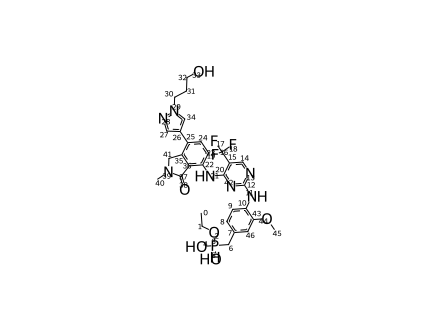 CCO[PH](O)(O)Cc1ccc(Nc2ncc(C(F)(F)F)c(Nc3ccc(-c4cnn(CCCO)c4)c4c3C(=O)N(C)C4)n2)c(OC)c1